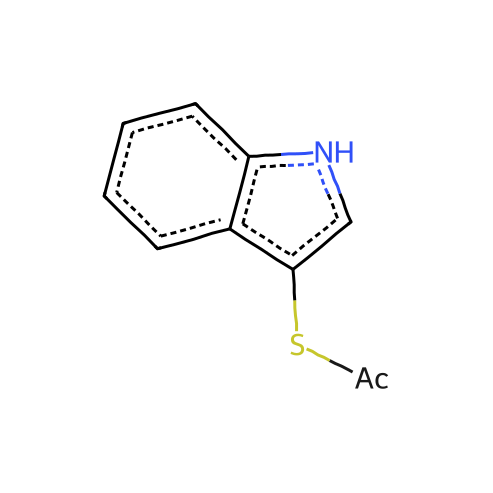 CC(=O)Sc1c[nH]c2ccccc12